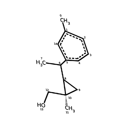 Cc1cccc(C(C)C2C[C@@]2(C)CO)c1